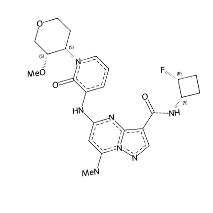 CNc1cc(Nc2cccn([C@H]3CCOC[C@H]3OC)c2=O)nc2c(C(=O)N[C@H]3CC[C@H]3F)cnn12